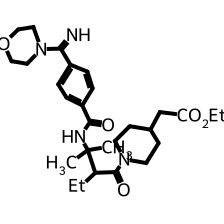 CCOC(=O)CC1CCN(C(=O)C(CC)C(C)(C)NC(=O)c2ccc(C(=N)N3CCOCC3)cc2)CC1